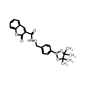 CC1(C)OB(c2ccc(CONC(=O)c3cc4ccccc4oc3=O)cc2)OC1(C)C